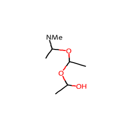 CNC(C)OC(C)OC(C)O